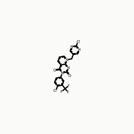 O=c1nc2n(Cc3cnc(Cl)nc3)cccc-2c(=O)n1-c1ccc(Cl)c(C(F)(F)F)c1